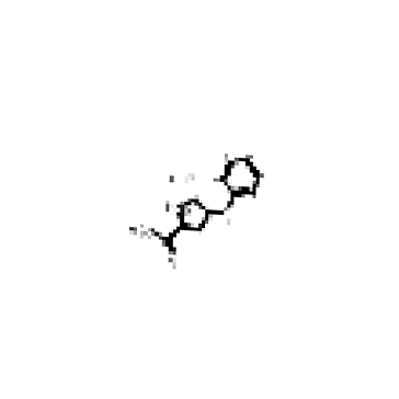 COC(=O)C1CC(Oc2ccccc2)CN1.Cl